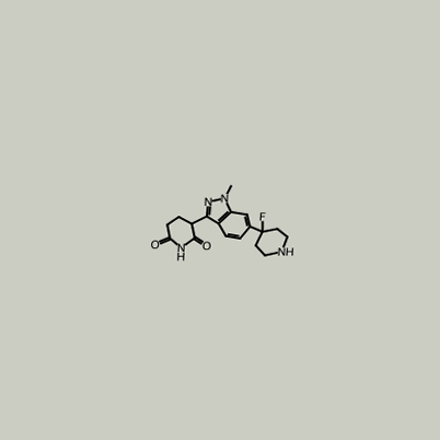 Cn1nc(C2CCC(=O)NC2=O)c2ccc(C3(F)CCNCC3)cc21